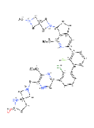 COc1nc(-c2cccc(-c3cccc(-c4cc5c(c(OC)n4)C(N4CC6(CN(C(C)=O)C6)C4)CC5)c3F)c2Cl)cnc1CN1CC2(CCC(=O)N2)C1